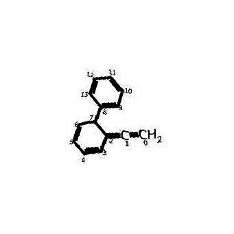 C=C=C1C=CC=CC1c1ccccc1